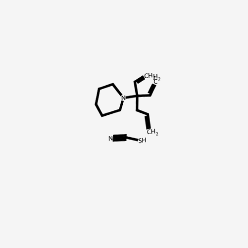 C=CCC(C=C)(C=C)N1CCCCC1.N#CS